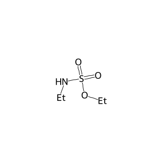 CCNS(=O)(=O)OCC